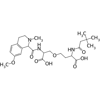 COc1ccc2c(c1)C(C(=O)NC(COCCC(NC(=O)CC(C)(C)C)C(=O)O)C(=O)O)N(C)CC2